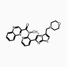 CN(C(=O)c1cnc2ccccc2n1)c1ncccc1-c1cn2c(CN3CCOCC3)csc2n1